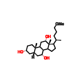 COCCCC(C)C1CCC2C3C(C[C@H](O)[C@]12C)[C@@]1(C)CC[C@@H](O)C[C@H]1C[C@H]3O